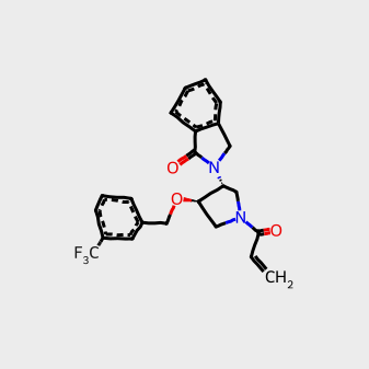 C=CC(=O)N1C[C@@H](N2Cc3ccccc3C2=O)[C@H](OCc2cccc(C(F)(F)F)c2)C1